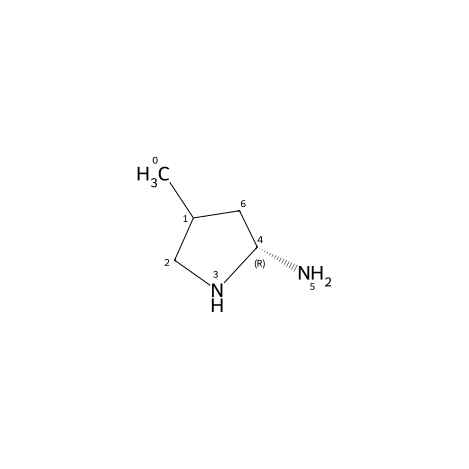 CC1CN[C@@H](N)C1